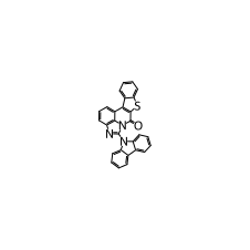 O=c1c2sc3ccccc3c2c2cccc3nc(-n4c5ccccc5c5ccccc54)n1c32